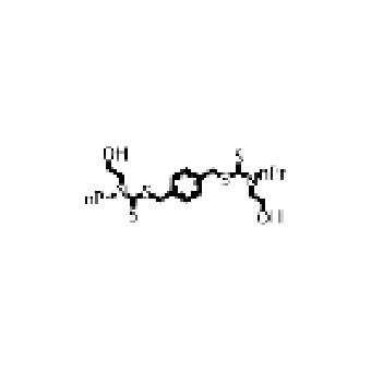 CCCN(CCO)C(=S)SCc1ccc(CSC(=S)N(CCC)CCO)cc1